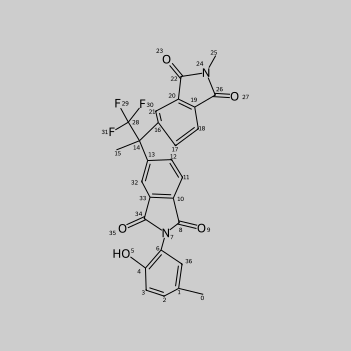 Cc1ccc(O)c(N2C(=O)c3ccc(C(C)(c4ccc5c(c4)C(=O)N(C)C5=O)C(F)(F)F)cc3C2=O)c1